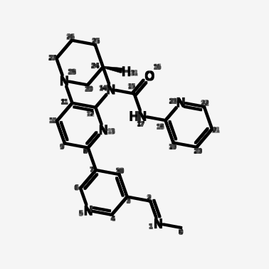 C/N=C/c1cncc(-c2ccc3c(n2)N(C(=O)Nc2ccccn2)[C@H]2CCCN3C2)c1